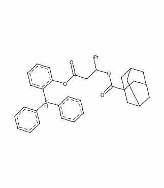 CC(C)C(CC(=O)Oc1ccccc1[SH](c1ccccc1)c1ccccc1)OC(=O)C12CC3CC(CC(C3)C1)C2